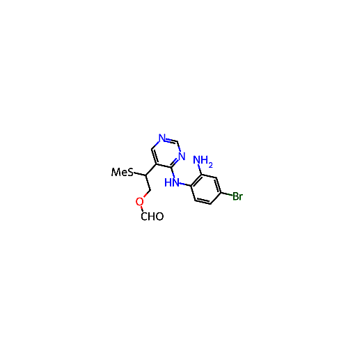 CSC(COC=O)c1cncnc1Nc1ccc(Br)cc1N